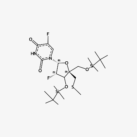 CSC[C@]1(CO[Si](C)(C)C(C)(C)C)O[C@@H](n2cc(F)c(=O)[nH]c2=O)[C@@H](F)C1O[Si](C)(C)C(C)(C)C